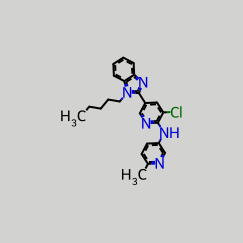 CCCCCn1c(-c2cnc(Nc3ccc(C)nc3)c(Cl)c2)nc2ccccc21